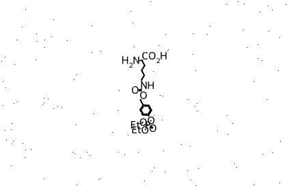 CCOP(=O)(OCC)Oc1ccc(COC(=O)NCCCCC(N)C(=O)O)cc1